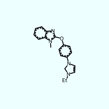 CCN1C=CN(c2ccc(Oc3nc4ccccc4n3C)cc2)C1